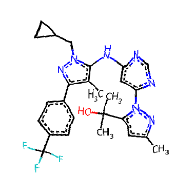 Cc1cc(C(C)(C)O)n(-c2cc(Nc3c(C)c(-c4ccc(C(F)(F)F)cc4)nn3CC3CC3)ncn2)n1